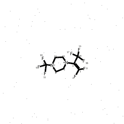 FC(F)=C(N1CCN(C(F)(F)F)CC1)C(F)(F)F